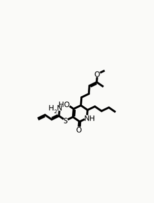 C=C/C=C(\N)SC1=C(O)C(CC/C=C(\C)OC)C(CCCC)NC1=O